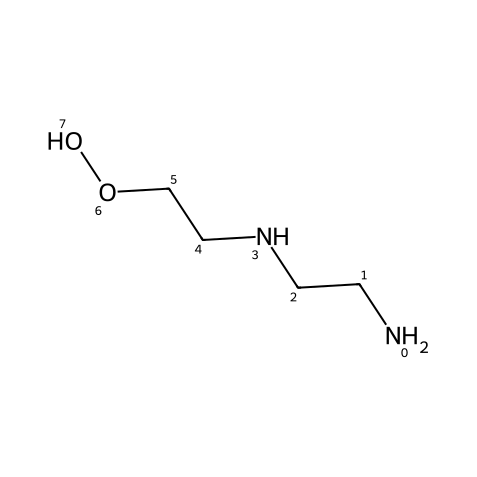 NCCNCCOO